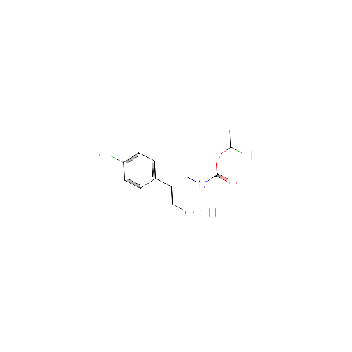 CC(Cl)OC(=O)NC[C@H](CC(=O)O)c1ccc(Cl)cc1